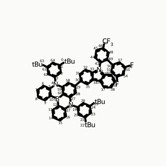 CC(C)(C)c1cc(N2c3ccccc3B3c4ccccc4N(c4cc(C(C)(C)C)cc(C(C)(C)C)c4)c4cc(-c5ccc6c(c5)c5ccccc5n6-c5ccc(C(F)(F)F)cc5-c5cc(F)cc(F)c5)cc2c43)cc(C(C)(C)C)c1